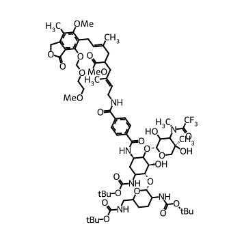 COCCOCOc1c(C/C=C(\C)CC(C/C(C)=C/CNC(=O)c2ccc(C(=O)N[C@@H]3CC(NC(=O)OC(C)(C)C)[C@@H](O[C@H]4OC(CNC(=O)OC(C)(C)C)CCC4NC(=O)OC(C)(C)C)[C@H](O)C3O[C@H]3OC[C@](C)(O)C(N(C)C(=O)C(F)(F)F)C3O)cc2)C(=O)OC)c(OC)c(C)c2c1C(=O)OC2